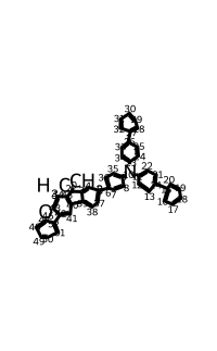 CC1(C)c2cc(-c3ccc(N(c4ccc(-c5ccccc5)cc4)c4ccc(-c5ccccc5)cc4)cc3)ccc2-c2cc3c(cc21)oc1ccccc13